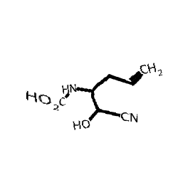 C=CCC(NC(=O)O)C(O)C#N